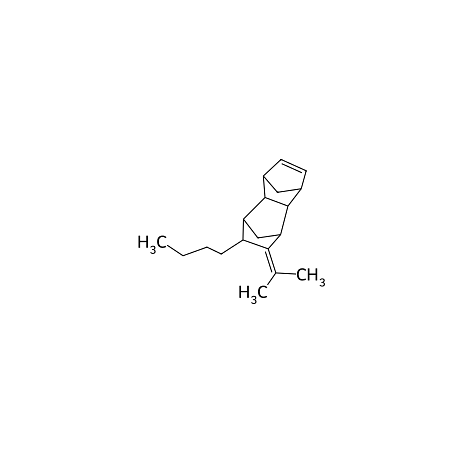 CCCCC1C(=C(C)C)C2CC1C1C3C=CC(C3)C21